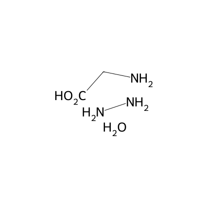 NCC(=O)O.NN.O